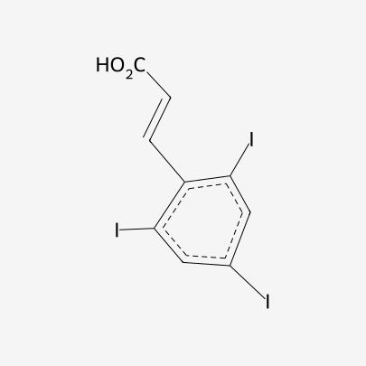 O=C(O)/C=C/c1c(I)cc(I)cc1I